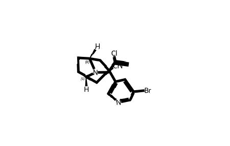 C=C(Cl)CN1[C@@H]2CC[C@H]1CC(C#N)(c1cncc(Br)c1)C2